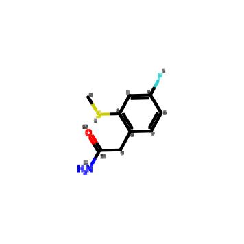 CSc1cc(F)ccc1CC(N)=O